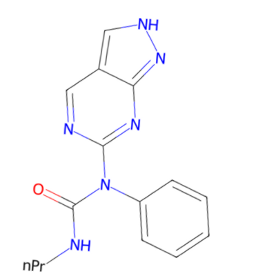 CCCNC(=O)N(c1ccccc1)c1ncc2c[nH]nc2n1